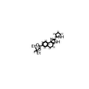 CCOB(OC(C)(C)CC)c1ccc2c(c1)CCc1[nH]c([C@@H]3CCCN3)nc1-2